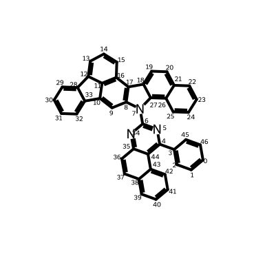 c1ccc(-c2nc(-n3c4cc5c6c(cccc6c4c4ccc6ccccc6c43)-c3ccccc3-5)nc3ccc4ccccc4c23)cc1